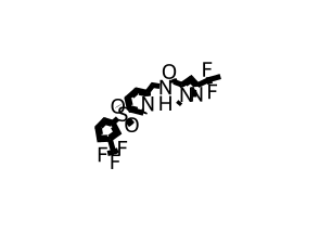 Cn1nc(C(C)(F)F)cc1C(=O)NCc1ccc(S(=O)(=O)c2cccc(C(F)(F)F)c2)cn1